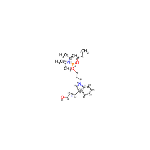 CCCOP(OCCCn1cc(/C=C/C=O)c2ccccc21)N(C(C)C)C(C)C